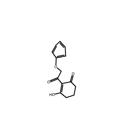 O=C1CCCC(O)=C1C(=O)COc1ccccc1